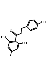 Cc1cc(O)c(C(=O)CCc2ccc(O)cc2)c(O)c1